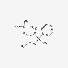 CC1(c2ccccc2)OC(N)=C(O[Si](C)(C)C)C1=O